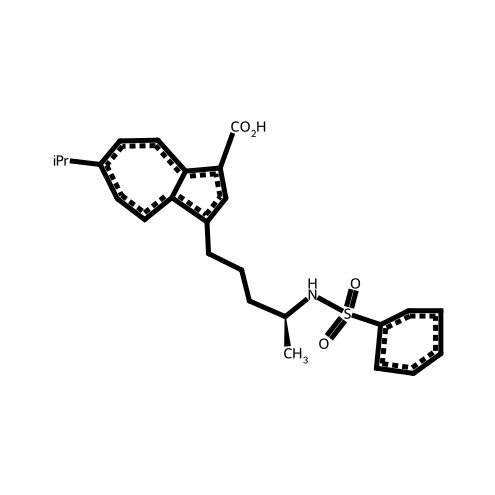 CC(C)c1ccc2c(CCC[C@H](C)NS(=O)(=O)c3ccccc3)cc(C(=O)O)c-2cc1